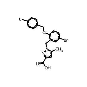 Cc1cc(C(=O)O)nn1Cc1cc(Br)ccc1OCc1ccc(Cl)cc1